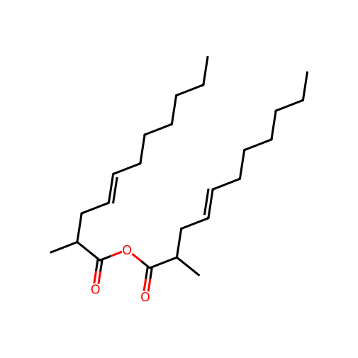 CCCCCCC=CCC(C)C(=O)OC(=O)C(C)CC=CCCCCCC